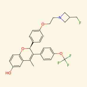 CC1=C(c2ccc(OC(F)(F)F)cc2)[C@H](c2ccc(OCCN3CC(CF)C3)cc2)Oc2ccc(O)cc21